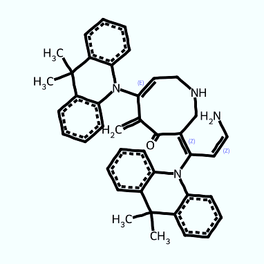 C=C1C(=O)/C(=C(/C=C\N)N2c3ccccc3C(C)(C)c3ccccc32)CNC/C=C\1N1c2ccccc2C(C)(C)c2ccccc21